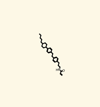 C=CC(=O)NCCCc1ccc(CCc2ccc(C3CCC(CCCCC)CC3)cc2)cc1